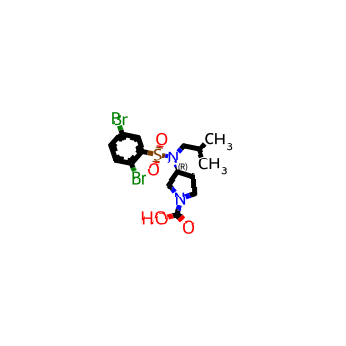 CC(C)CN([C@@H]1CCN(C(=O)O)C1)S(=O)(=O)c1cc(Br)ccc1Br